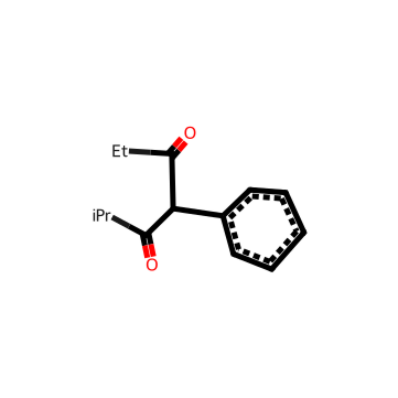 CCC(=O)C(C(=O)C(C)C)c1ccccc1